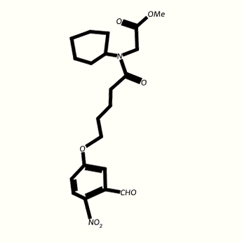 COC(=O)CN(C(=O)CCCCOc1ccc([N+](=O)[O-])c(C=O)c1)C1CCCCC1